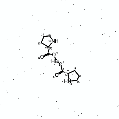 O=C(OBOC(=O)[C@@H]1CCCN1)[C@@H]1CCCN1